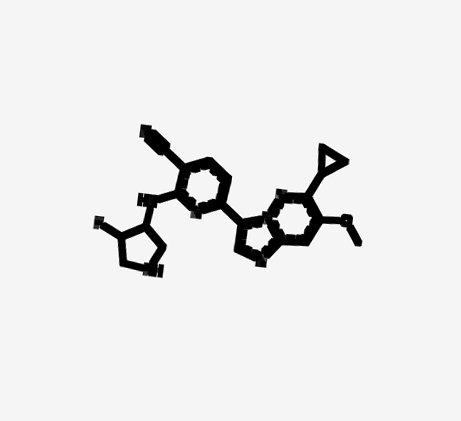 COc1cc2ncc(-c3ccc(C#N)c(NC4CNCC4F)n3)n2nc1C1CC1